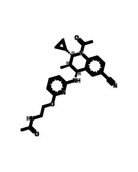 CC(=O)NCCOc1cccc(N[C@H]2c3cc(C#N)ccc3N(C(C)=O)[C@@H](C3CC3)[C@@H]2C)n1